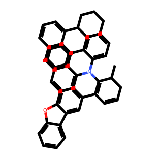 CC1CC=CC(c2ccc3oc4ccccc4c3c2)=C1N(c1ccccc1-c1cccc2cccc(C3CCCCC3)c12)c1cccc2ccccc12